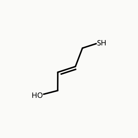 OCC=CCS